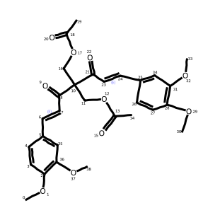 COc1ccc(/C=C/C(=O)C(COC(C)=O)(COC(C)=O)C(=O)/C=C/c2ccc(OC)c(OC)c2)cc1OC